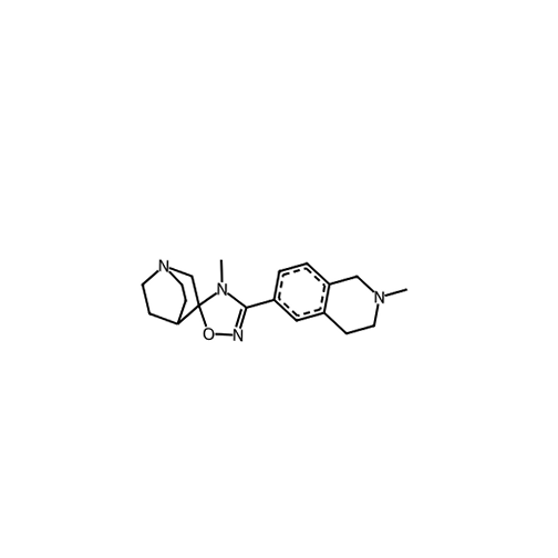 CN1CCc2cc(C3=NOC4(CN5CCC4CC5)N3C)ccc2C1